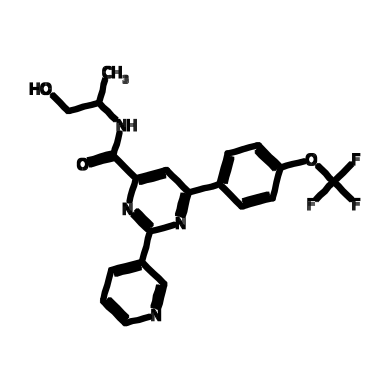 CC(CO)NC(=O)c1cc(-c2ccc(OC(F)(F)F)cc2)nc(-c2cccnc2)n1